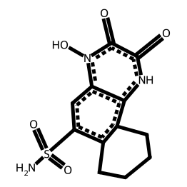 NS(=O)(=O)c1cc2c([nH]c(=O)c(=O)n2O)c2c1CCCC2